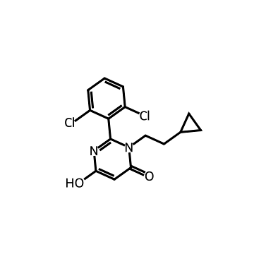 O=c1cc(O)nc(-c2c(Cl)cccc2Cl)n1CCC1CC1